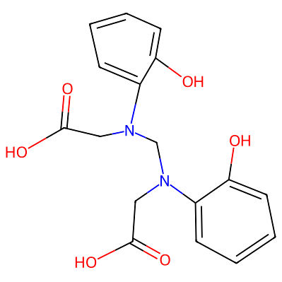 O=C(O)CN(CN(CC(=O)O)c1ccccc1O)c1ccccc1O